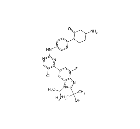 CC(C)n1c(C(C)(C)O)nc2c(F)cc(-c3nc(Nc4ccc(N5CCC(N)CC5=O)cc4)ncc3Cl)cc21